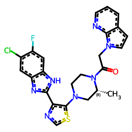 C[C@@H]1CN(c2scnc2-c2nc3cc(Cl)c(F)cc3[nH]2)CCN1C(=O)Cn1ccc2cccnc21